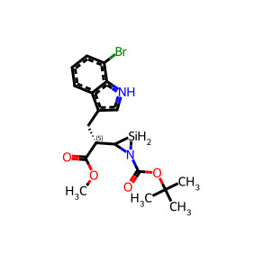 COC(=O)[C@H](Cc1c[nH]c2c(Br)cccc12)C1[SiH2]N1C(=O)OC(C)(C)C